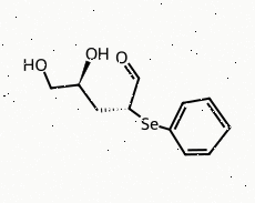 O=C[C@@H](C[C@H](O)CO)[Se]c1ccccc1